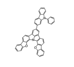 c1ccc(-n2c3ccccc3c3ccc(-c4cc5c6ccc7c8ccccc8oc7c6n6c5c(c4)c4ccc5c7ccccc7oc5c46)cc32)cc1